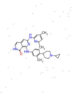 Cc1cc(C)nc(Nc2cc3cc[nH]c(=O)c3c(Nc3ccc(C4CCN(C5CC5)CC4)c(C)c3)n2)c1